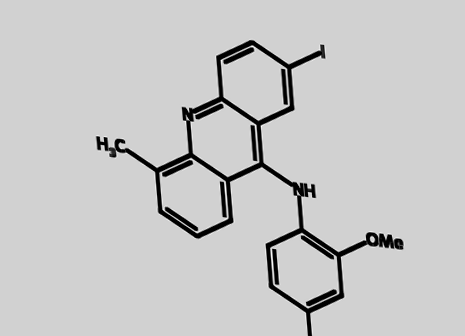 COc1cc(N)ccc1Nc1c2cc(I)ccc2nc2c(C)cccc12